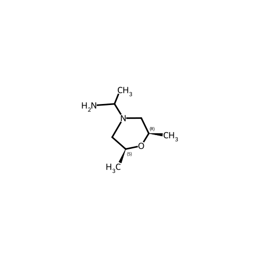 CC(N)N1C[C@@H](C)O[C@@H](C)C1